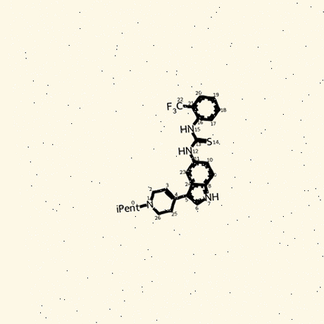 CCCC(C)N1CC=C(c2c[nH]c3ccc(NC(=S)Nc4ccccc4C(F)(F)F)cc23)CC1